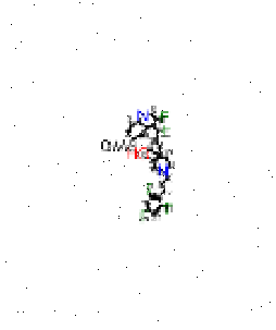 COc1ccc2ncc(F)c([C@H](F)CCC3(CO)CCN(CCCc4c(F)cc(F)cc4F)CC3)c2c1